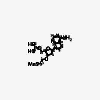 CSSCOC1C[C@H](n2cnc3c(N)ncnc32)O[C@@H]1COP(O)O